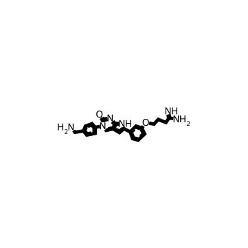 N=C(N)CCCOc1cccc(-c2cc3cn(-c4ccc(CN)cc4)c(=O)nc3[nH]2)c1